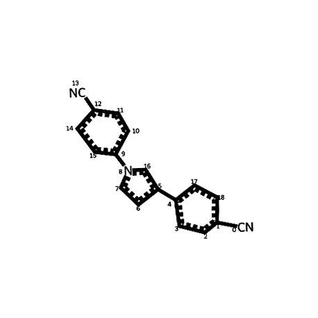 N#Cc1ccc(-c2ccn(-c3ccc(C#N)cc3)c2)cc1